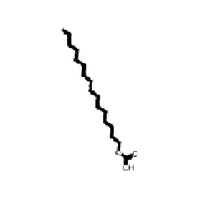 CCCCCCCCCCCCCCCCOC(=O)O